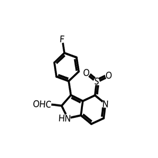 O=CC1NC2=CC=NC(=S(=O)=O)C2=C1c1ccc(F)cc1